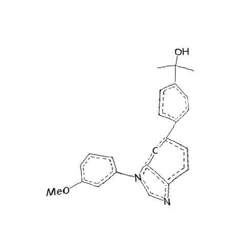 COc1cccc(-n2cnc3ccc(-c4ccc(C(C)(C)O)cc4)cc32)c1